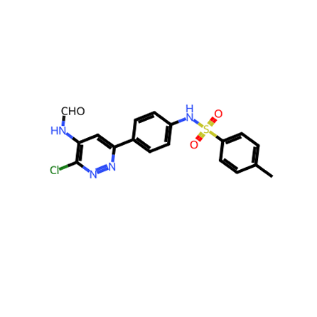 Cc1ccc(S(=O)(=O)Nc2ccc(-c3cc(NC=O)c(Cl)nn3)cc2)cc1